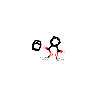 C1=CC2CCC1C2.CCCCCCCCOC(=O)c1ccccc1C(=O)OCCCCCCCC